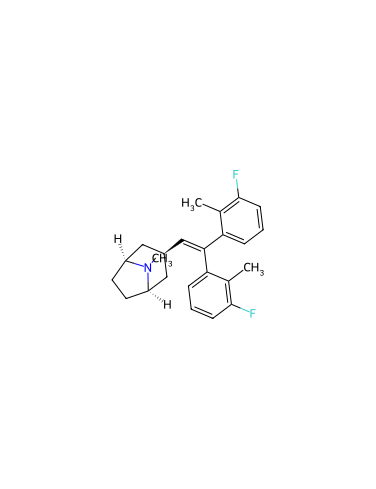 Cc1c(F)cccc1C(=C[C@H]1C[C@H]2CC[C@@H](C1)N2C)c1cccc(F)c1C